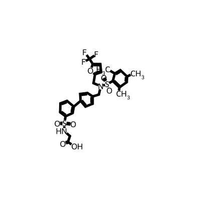 Cc1cc(C)c(S(=O)(=O)N(Cc2ccc(-c3cccc(S(=O)(=O)NCC(=O)O)c3)cc2)Cc2ccc(C(F)(F)F)o2)c(C)c1